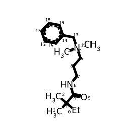 CCC(C)(C)C(=O)NCCC[N+](C)(C)Cc1ccccc1